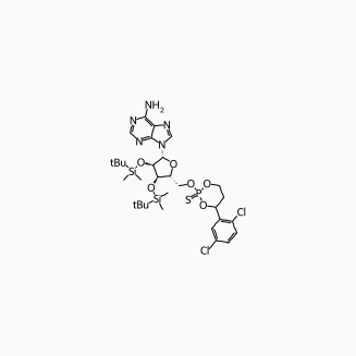 CC(C)(C)[Si](C)(C)O[C@@H]1[C@H](O[Si](C)(C)C(C)(C)C)[C@@H](COP2(=S)OCCC(c3cc(Cl)ccc3Cl)O2)O[C@H]1n1cnc2c(N)ncnc21